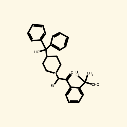 CCC(C(=O)c1ccccc1C(C)(C)C=O)N1CCC(C(O)(c2ccccc2)c2ccccc2)CC1